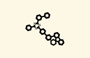 c1ccc(-c2cccc(-c3nc(-c4ccccc4)nc(-c4ccc(-c5cccc(-c6cccc7c6C6(CCCCC6)c6ccccc6-7)c5)cc4)n3)c2)cc1